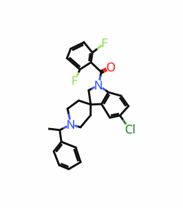 CC(c1ccccc1)N1CCC2(CC1)CN(C(=O)c1c(F)cccc1F)c1ccc(Cl)cc12